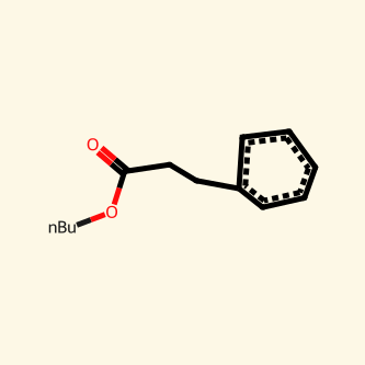 CCCCOC(=O)CCc1ccccc1